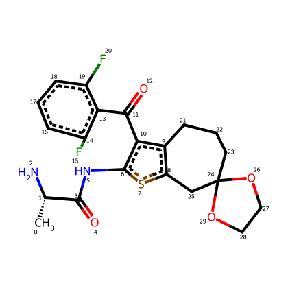 C[C@H](N)C(=O)Nc1sc2c(c1C(=O)c1c(F)cccc1F)CCCC1(C2)OCCO1